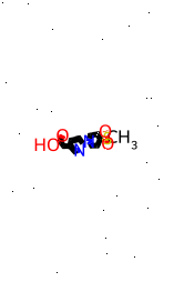 CS(=O)(=O)C1CCN(c2ccc(CC(=O)O)cn2)CC1